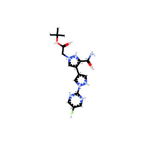 CC(C)(C)OC(=O)Cn1cc(-c2cnn(-c3ncc(F)cn3)c2)c(C(N)=O)n1